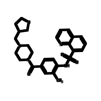 Cc1cc(C(=O)N2CCN(CC3CCOC3)CC2)ccc1NS(=O)(=O)c1cccc2cccnc12